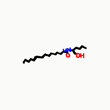 CCCCC=CCCCCCCCCC(=O)NC(CO)CCCC